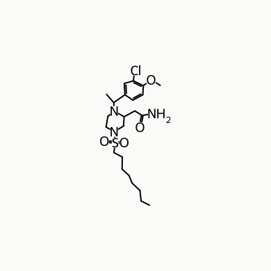 CCCCCCCCS(=O)(=O)N1CCN(C(C)c2ccc(OC)c(Cl)c2)C(CC(N)=O)C1